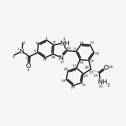 CN(C)C(=O)c1ccc2[nH]c(-c3cccc4c3-c3ccccc3[C@H]4C(N)=O)nc2c1